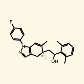 CC1=Cc2c(cnn2-c2ccc(F)cc2)C[C@]1(C)CC(O)c1c(C)cccc1C